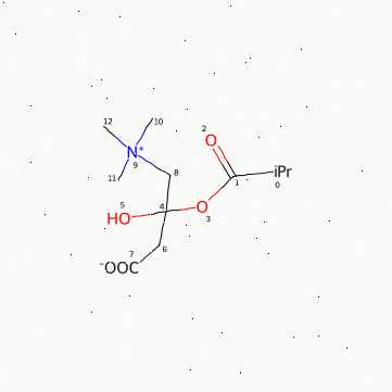 CC(C)C(=O)OC(O)(CC(=O)[O-])C[N+](C)(C)C